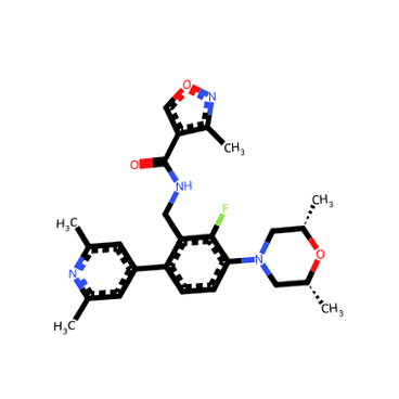 Cc1cc(-c2ccc(N3C[C@@H](C)O[C@@H](C)C3)c(F)c2CNC(=O)c2conc2C)cc(C)n1